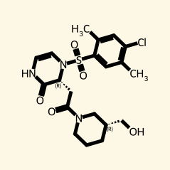 Cc1cc(S(=O)(=O)N2C=CNC(=O)[C@H]2CC(=O)N2CCC[C@@H](CO)C2)c(C)cc1Cl